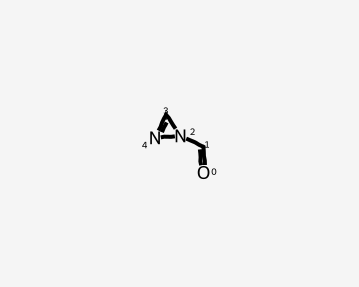 O=CN1[C]=N1